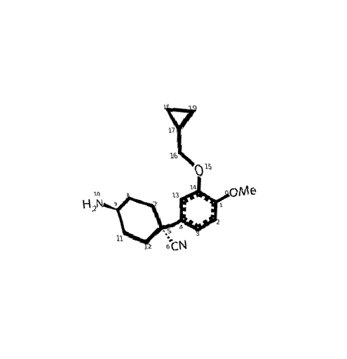 COc1ccc([C@]2(C#N)CC[C@H](N)CC2)cc1OCC1CC1